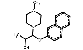 CC(O)C(Oc1ccc2ccccc2c1)N1CCN(C)CC1